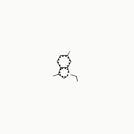 CC(=O)c1cn(CC(=O)O)c2cc(Cl)ccc12